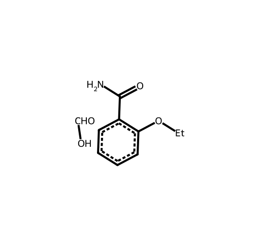 CCOc1ccccc1C(N)=O.O=CO